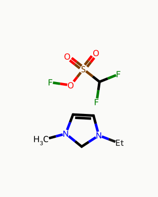 CCN1C=CN(C)C1.O=S(=O)(OF)C(F)F